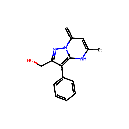 C=C1C=C(CC)Nc2c(-c3ccccc3)c(CO)nn21